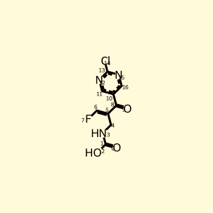 O=C(O)NCC(=CF)C(=O)c1cnc(Cl)nc1